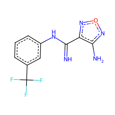 N=C(Nc1cccc(C(F)(F)F)c1)c1nonc1N